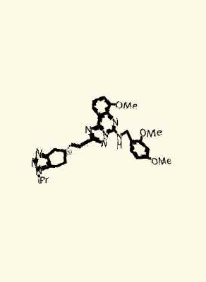 COc1ccc(CNc2nc3c(OC)cccc3c3nc(CC[C@@H]4CCc5c(nnn5C(C)C)C4)nn23)c(OC)c1